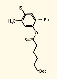 CCCCCCCCCCCCCCC(=S)Oc1cc(C)c(S)cc1C(C)(C)C